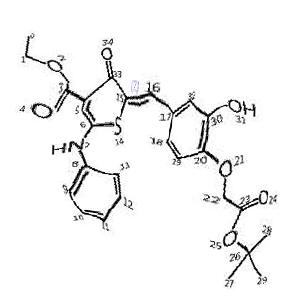 CCOC(=O)C1=C(Nc2ccccc2)S/C(=C\c2ccc(OCC(=O)OC(C)(C)C)c(O)c2)C1=O